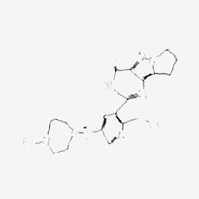 CCOc1ncc(S(=O)(=O)N2CCN(CC)CC2)cc1-c1nc2c3n(nc2c(=O)[nH]1)CCC3